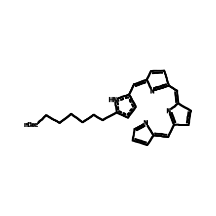 CCCCCCCCCCCCCCCCc1ccc(C=C2C=CC(C=C3C=CC(C=C4C=CC=N4)=N3)=N2)[nH]1